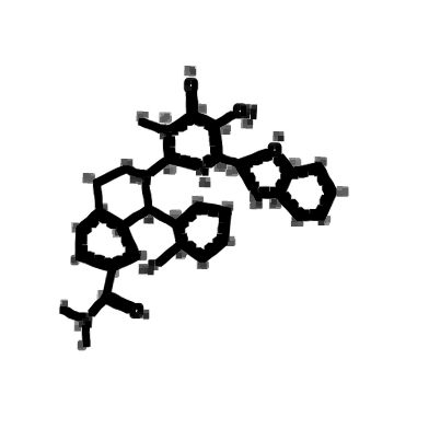 CN(C)C(=O)c1ccc2c(c1)C(c1ccccc1F)N(c1nc(-c3nc4ccccc4o3)c(O)c(=O)n1C)CC2